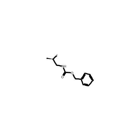 C[C@@H](I)CNC(=O)OCc1ccccc1